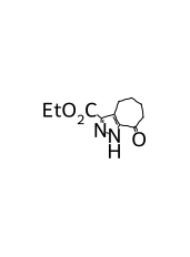 CCOC(=O)c1n[nH]c2c1CCCCC2=O